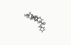 O=C(C1CC12CCCC2)N1CCc2nc(N3C4CCC3CNC4)sc2C1